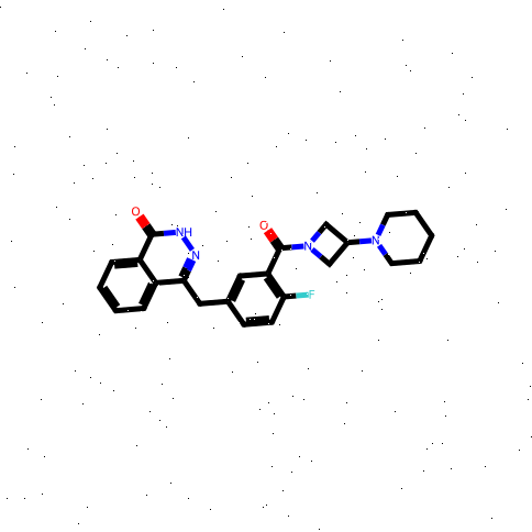 O=C(c1cc(Cc2n[nH]c(=O)c3ccccc23)ccc1F)N1CC(N2CCCCC2)C1